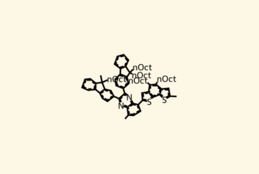 CCCCCCCCc1c(CCCCCCCC)c2cc(-c3ccc(C)c4nc(-c5ccc6c(c5)C(C)(CCCCCCCC)c5ccccc5-6)c(-c5ccc6c(c5)C(CCCCCCCC)(CCCCCCCC)c5ccccc5-6)nc34)sc2c2sc(C)cc12